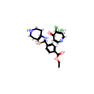 Br.CCOC(=O)c1ccc(-c2nc3c(s2)CCNCC3)cc1.O=c1ccnccc1Br